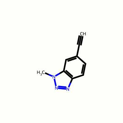 C#Cc1ccc2nnn(C)c2c1